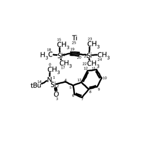 CN([Si](=O)CC1C=Cc2ccccc21)C(C)(C)C.C[Si](C)(C)C#C[Si](C)(C)C.[Ti]